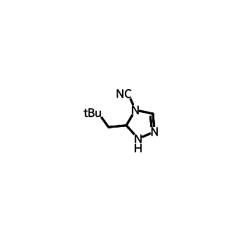 CC(C)(C)CC1NN=CN1C#N